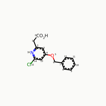 O=C(O)Cc1cc(OCc2ccccc2)cc(Cl)n1